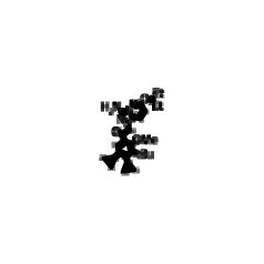 CCC(CC)Oc1ccc2n(n1)c(N)n[n+]2CC(=O)c1cc(C2CC2)c(C2CC2)c(C(C)(C)C)c1OC